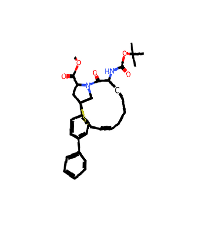 COC(=O)C1CC2(c3ccc(-c4ccccc4)cc3)CN1C(=O)C(NC(=O)OC(C)(C)C)CCCC/C=C\CS2